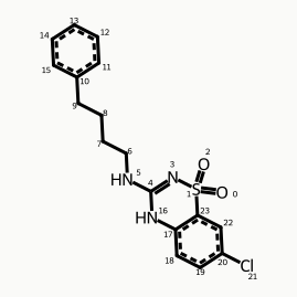 O=S1(=O)N=C(NCCCCc2ccccc2)Nc2ccc(Cl)cc21